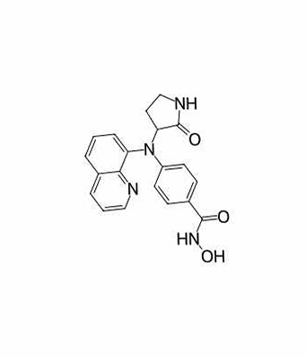 O=C(NO)c1ccc(N(c2cccc3cccnc23)C2CCNC2=O)cc1